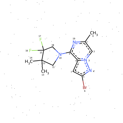 Cc1cn2nc(Br)cc2c(N2CC(C)(C)C(F)(F)C2)n1